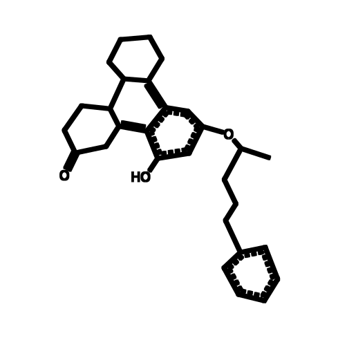 CC(CCCc1ccccc1)Oc1cc(O)c2c(c1)=C1CCCCC1C1CCC(=O)CC=21